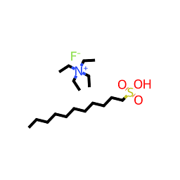 CCCCCCCCCCCS(=O)(=O)O.CC[N+](CC)(CC)CC.[F-]